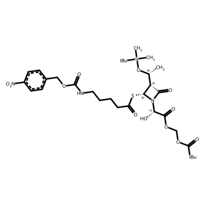 C[C@@H](O[Si](C)(C)C(C)(C)C)[C@@H]1C(=O)N([C@@H](O)C(=O)OCOC(=O)C(C)(C)C)[C@@H]1SC(=O)CCCCNC(=O)OCc1ccc([N+](=O)[O-])cc1